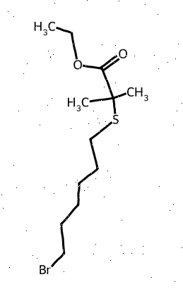 CCOC(=O)C(C)(C)SCCCCCCBr